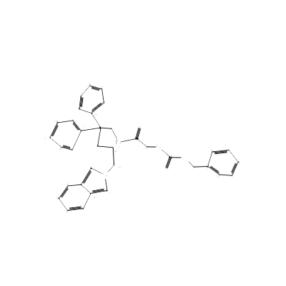 Cl.O=C(CNC(=O)OCc1ccccc1)NCC(CCCn1cc2ccccc2c1)(c1ccccc1)c1ccccc1